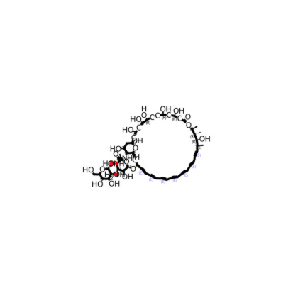 C[C@@H]1[C@H](O)[C@@H](C)/C=C/C=C/C=C/C=C/C=C/C=C/C=C/[C@H](O[C@@H]2O[C@H](C)[C@@H](O)[C@H](N)[C@@H]2O)C[C@@H]2O[C@](O)(C[C@@H](O)C[C@@H](O)[C@H](O)CC[C@@H](O)C[C@@H](O)CC(=O)O[C@H]1C)C[C@H](O)[C@H]2NC(=O)NO[C@@H]1OC(CO)[C@@H](O)C(O)[C@@H]1O